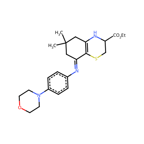 CCOC(=O)C1CSC2=C(CC(C)(C)C/C2=N\c2ccc(N3CCOCC3)cc2)N1